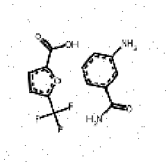 NC(=O)c1cccc(N)c1.O=C(O)c1ccc(C(F)(F)F)o1